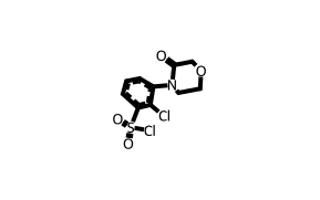 O=C1COCCN1c1cccc(S(=O)(=O)Cl)c1Cl